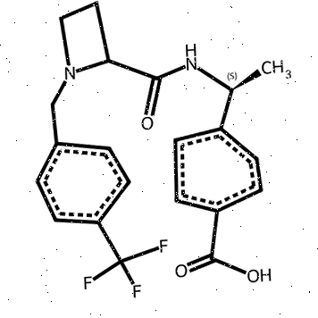 C[C@H](NC(=O)C1CCN1Cc1ccc(C(F)(F)F)cc1)c1ccc(C(=O)O)cc1